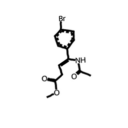 COC(=O)CC=C(NC(C)=O)c1ccc(Br)cc1